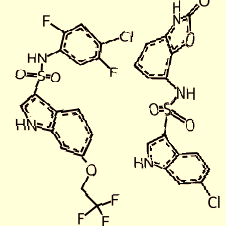 O=S(=O)(Nc1cc(F)c(Cl)cc1F)c1c[nH]c2cc(OCC(F)(F)F)ccc12.O=c1[nH]c2cccc(NS(=O)(=O)c3c[nH]c4cc(Cl)ccc34)c2o1